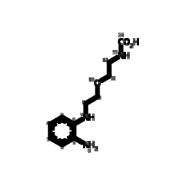 Nc1ccccc1NCCOCCNC(=O)O